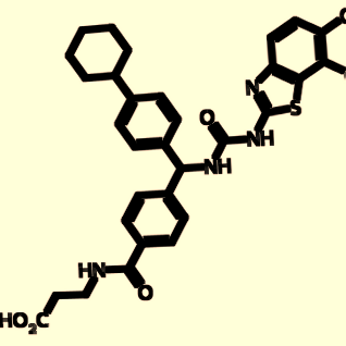 O=C(O)CCNC(=O)c1ccc(C(NC(=O)Nc2nc3ccc(Cl)c(Cl)c3s2)c2ccc(C3CCCCC3)cc2)cc1